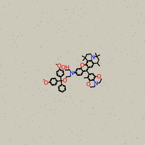 COc1ccc(C(OCC/[N+](CCO)=c2\ccc3c(-c4cc5c6c(c4C)OCCN6CCO5)c4cc5c6c(c4oc-3c2)C(C)(C)CCN6C(C)(C)CC5C)(c2ccccc2)c2ccc(OC)cc2)cc1